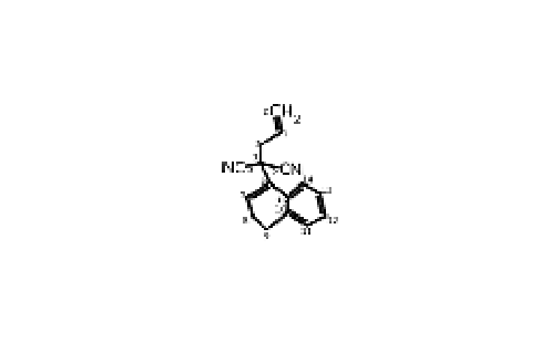 C=CCC(C#N)(C#N)C1=CCCc2ccccc21